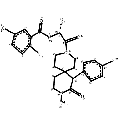 Cc1ccc(F)c(C(=O)N[C@@H](C(=O)N2CCC3(CCN(C)C(=O)C3c3ccc(F)cc3)CC2)C(C)C)c1